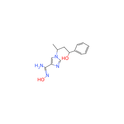 CC(CC(O)c1ccccc1)n1cnc(C(N)=NO)c1